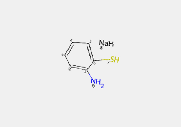 Nc1ccccc1S.[NaH]